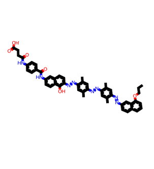 CCCOc1cccc2ccc(N=Nc3cc(C)c(N=Nc4cc(C)c(N=Nc5ccc6cc(NC(=O)c7ccc(NC(=O)CCC(=O)O)cc7)ccc6c5O)cc4C)cc3C)cc12